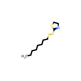 CCCCCCCCSSC1=NCCS1